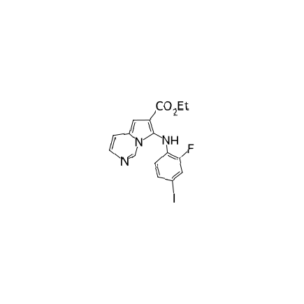 CCOC(=O)c1cc2ccncn2c1Nc1ccc(I)cc1F